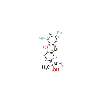 CC(C)(O)c1ccc(Oc2ccc(F)cc2F)c(Br)c1